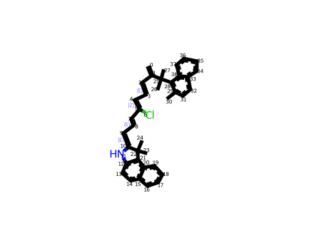 C=C(/C=C/C=C(Cl)/C=C/C=C1/Nc2ccc3ccccc3c2C1(C)C)C(C)(C)c1c(C)ccc2ccccc12